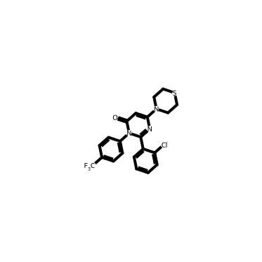 O=c1cc(N2CCSCC2)nc(-c2ccccc2Cl)n1-c1ccc(C(F)(F)F)cc1